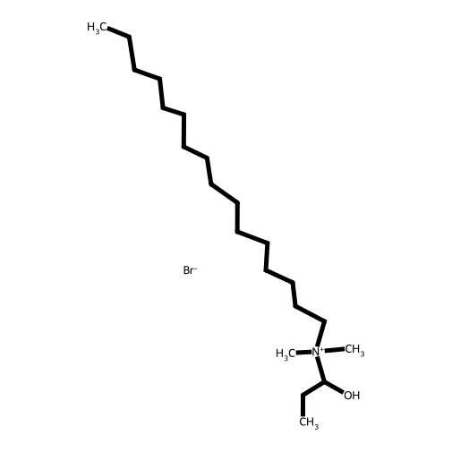 CCCCCCCCCCCCCCCC[N+](C)(C)C(O)CC.[Br-]